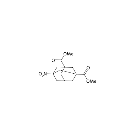 COC(=O)C12CC3CC(C(=O)OC)(C1)CC([N+](=O)[O-])(C3)C2